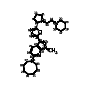 Cn1nc(-c2nnc([C@@H]3CCCN3CCN3CCCCC3)o2)c2ccc(N3CCCCCCC3)nc21